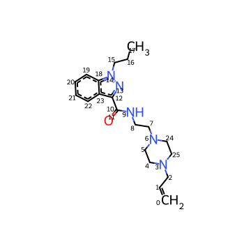 C=CCN1CCN(CCNC(=O)c2nn(CCC)c3ccccc23)CC1